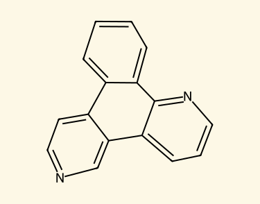 c1ccc2c(c1)c1ccncc1c1cccnc21